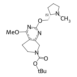 COc1nc(OC[C@@H]2CCCN2C)nc2c1CCN(C(=O)OC(C)(C)C)C2